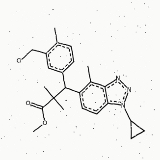 COC(=O)C(C)(C)C(c1ccc(C)c(CCl)c1)c1ccc2c(nnn2C2CC2)c1C